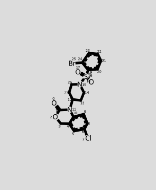 O=C1OCc2cc(Cl)ccc2N1C1CCN(S(=O)(=O)c2ccccc2Br)CC1